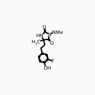 CNN1C(=O)NC(C)(CCc2ccc(O)c(F)c2)C1=O